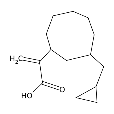 C=C(C(=O)O)C1CCCCCC(CC2CC2)C1